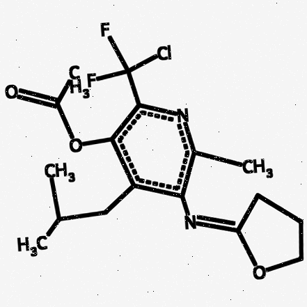 CC(=O)Oc1c(C(F)(F)Cl)nc(C)c(N=C2CCCO2)c1CC(C)C